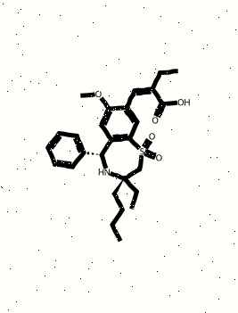 CCCC[C@]1(CC)CS(=O)(=O)c2cc(C=C(CC)C(=O)O)c(OC)cc2[C@@H](c2ccccc2)N1